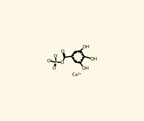 O=C(OP(=O)([O-])[O-])c1cc(O)c(O)c(O)c1.[Ca+2]